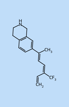 C=C/C(=C\C=C(/C)c1ccc2c(c1)CNCC2)C(F)(F)F